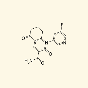 NC(=O)c1cc2c(n(-c3cncc(F)c3)c1=O)CCCC2=O